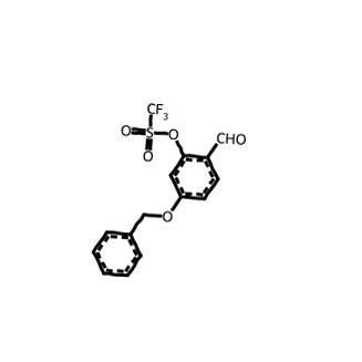 O=Cc1ccc(OCc2ccccc2)cc1OS(=O)(=O)C(F)(F)F